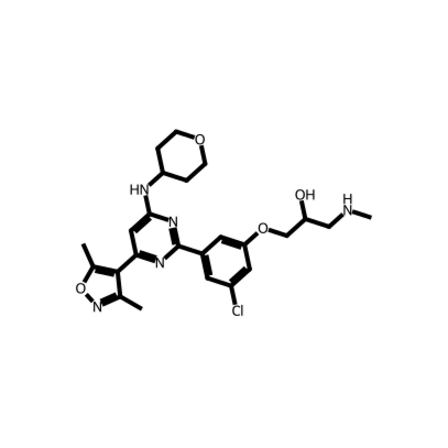 CNCC(O)COc1cc(Cl)cc(-c2nc(NC3CCOCC3)cc(-c3c(C)noc3C)n2)c1